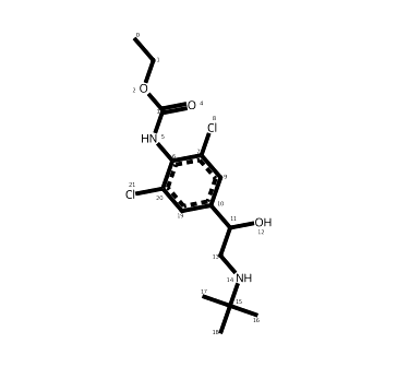 CCOC(=O)Nc1c(Cl)cc(C(O)CNC(C)(C)C)cc1Cl